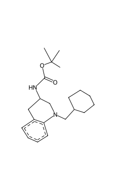 CC(C)(C)OC(=O)NC1Cc2ccccc2N(CC2CCCCC2)C1